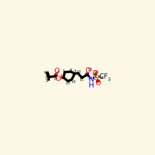 C=C(C)C(=O)OC1CCC(CCC(=O)NS(=O)(=O)C(F)(F)F)CC1